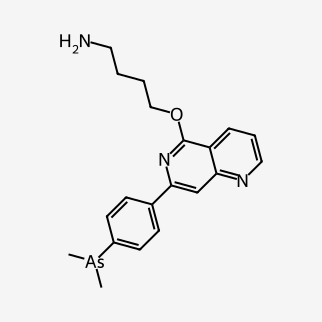 C[As](C)c1ccc(-c2cc3ncccc3c(OCCCCN)n2)cc1